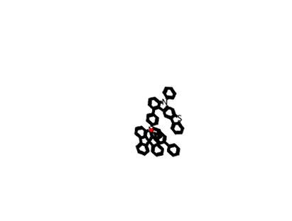 c1ccc(-c2ccc(N(c3ccc(-c4cccc5c4c4cc6c(cc4n5-c4ccccc4)sc4ccccc46)cc3)c3cccc4c3C3(c5ccccc5-c5ccccc53)c3ccccc3-4)cc2)cc1